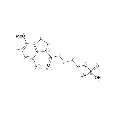 COc1c(C)cc([N+](=O)[O-])c2c1CCN2C(=O)CCCCOP(=O)(O)O